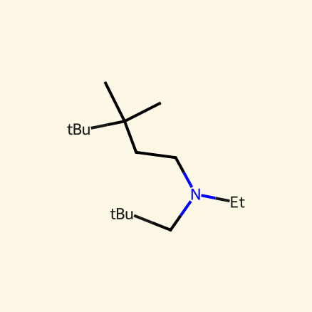 CCN(CCC(C)(C)C(C)(C)C)CC(C)(C)C